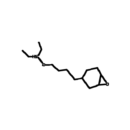 CC[SiH](CC)OCCCCC1CCC2OC2C1